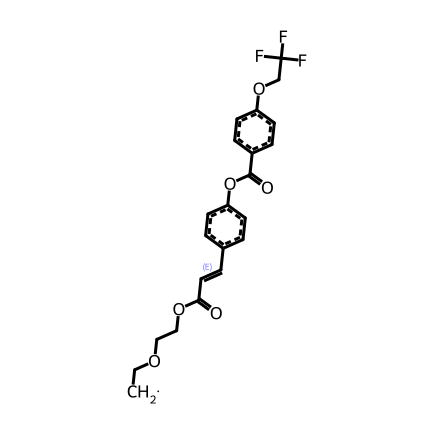 [CH2]COCCOC(=O)/C=C/c1ccc(OC(=O)c2ccc(OCC(F)(F)F)cc2)cc1